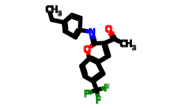 CCc1ccc(/N=c2\oc3ccc(C(F)(F)F)cc3cc2C(C)=O)cc1